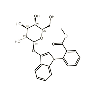 COC(=O)c1ccccc1-n1cc(O[C@@H]2O[C@H](CO)[C@H](O)[C@H](O)[C@H]2O)c2ccccc21